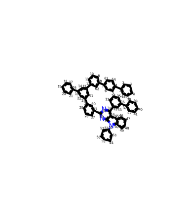 c1ccc(-c2ccc(-c3cccc(-c4cc(-c5ccccc5)cc(-c5cccc(-c6nc(-c7cccc(-c8ccccc8)c7)c7c8ccccc8n(-c8ccccc8)c7n6)c5)c4)c3)cc2)cc1